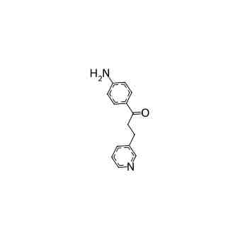 Nc1ccc(C(=O)CCc2cccnc2)cc1